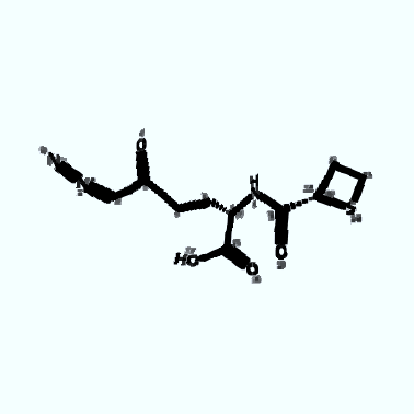 [N-]=[N+]=CC(=O)CC[C@H](NC(=O)[C@@H]1CCS1)C(=O)O